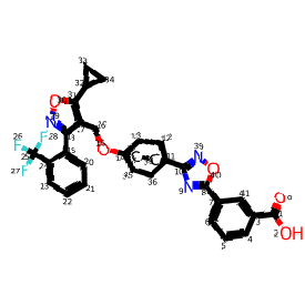 O=C(O)c1cccc(-c2nc(C34CCC(OCc5c(-c6ccccc6C(F)(F)F)noc5C5CC5)(CC3)CC4)no2)c1